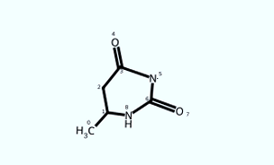 CC1CC(=O)[N]C(=O)N1